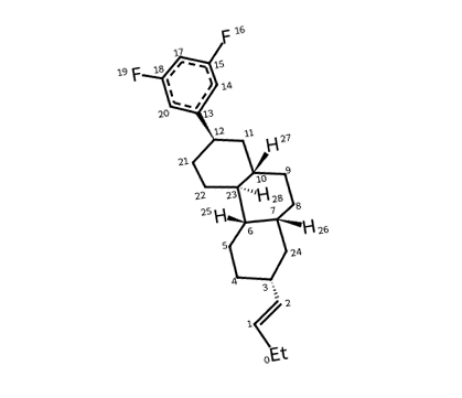 CCC=C[C@@H]1CC[C@H]2[C@H](CC[C@H]3C[C@H](c4cc(F)cc(F)c4)CC[C@@H]32)C1